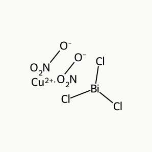 O=[N+]([O-])[O-].O=[N+]([O-])[O-].[Cl][Bi]([Cl])[Cl].[Cu+2]